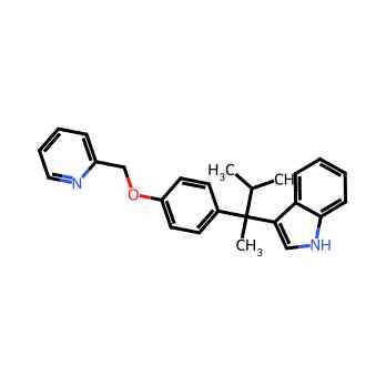 CC(C)C(C)(c1ccc(OCc2ccccn2)cc1)c1c[nH]c2ccccc12